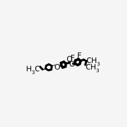 CCC[C@H]1CC[C@H](COc2ccc(C(=O)Oc3ccc(C[C@@H](C)CC)c(F)c3F)cc2)CC1